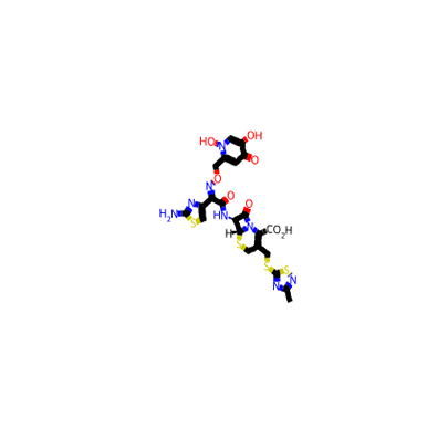 Cc1nsc(SCC2=C(C(=O)O)N3C(=O)[C@@H](NC(=O)/C(=N\OCc4cc(=O)c(O)cn4O)c4csc(N)n4)[C@H]3SC2)n1